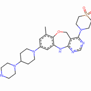 Cc1cc(N2CCC(N3CCNCC3)CC2)cc2c1OCc1c(ncnc1N1CCS(=O)(=O)CC1)N2